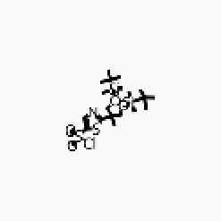 CC(CO[Si](C)(C)C(C)(C)C)(CO[Si](C)(C)C(C)(C)C)c1ncc(S(=O)(=O)Cl)s1